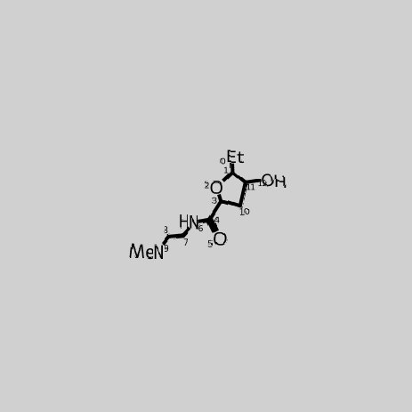 CCC1OC(C(=O)NCCNC)CC1O